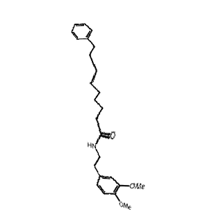 COc1ccc(CCNC(=O)CCCCCCCCc2ccccc2)cc1OC